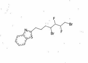 FC(CBr)C(F)C(Br)CCCc1nc2ccccc2s1